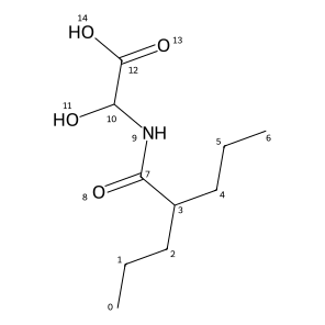 CCCC(CCC)C(=O)NC(O)C(=O)O